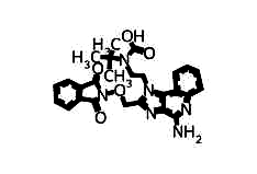 CC(C)(C)N(CCn1c(CON2C(=O)c3ccccc3C2=O)nc2c(N)nc3ccccc3c21)C(=O)O